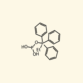 CCP(OP(O)O)(c1ccccc1)(c1ccccc1)c1ccccc1